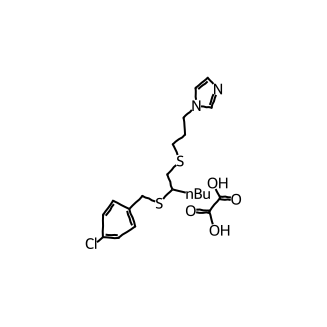 CCCCC(CSCCCn1ccnc1)SCc1ccc(Cl)cc1.O=C(O)C(=O)O